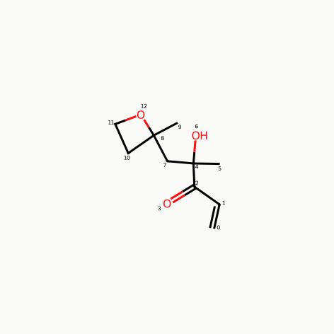 C=CC(=O)C(C)(O)CC1(C)CCO1